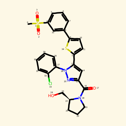 CS(=O)(=O)c1cccc(-c2ccc(-c3cc(C(=O)N4CCC[C@H]4CO)nn3-c3ccccc3Cl)s2)c1